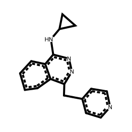 c1ccc2c(NC3CC3)nnc(Cc3ccncc3)c2c1